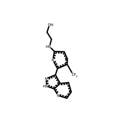 OCCNc1ccc(C(F)(F)F)c(-c2n[nH]c3ncccc23)n1